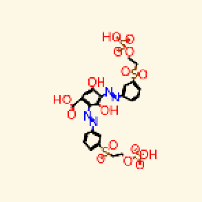 O=C(O)c1cc(O)c(N=Nc2cccc(S(=O)(=O)CCOS(=O)(=O)O)c2)c(O)c1N=Nc1cccc(S(=O)(=O)CCOS(=O)(=O)O)c1